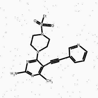 CCS(=O)(=O)N1CCN(c2nc(N)nc(C)c2C#Cc2cccnc2)CC1